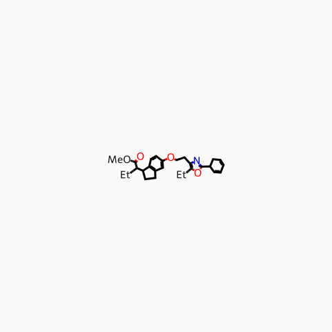 CCc1oc(C2C=CC=CC2)nc1CCOc1ccc2c(c1)CCC2C(CC)C(=O)OC